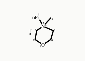 CCC[N+]1(C)CCOCC1.[I-]